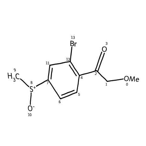 COCC(=O)c1ccc([S+](C)[O-])cc1Br